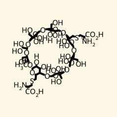 C[C@@H]1OC2OC(CSC[C@@H](N)C(=O)O)C(OC3OC(CO)C(OC4OC(CO)C(OC5OC(CSC[C@@H](N)C(=O)O)C(OC6OC(CO)C(OC7OC(CO)C(OC(C(O)O)OC1CO)C(O)C7O)C(O)C6O)C(O)C5O)C(O)C4O)C(O)C3O)C(O)C2O